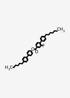 CCCCCCCc1ccc(-c2ccc(C(=O)Oc3ccc(-c4ccc(CCCCCC)cc4)cc3)cc2F)cc1